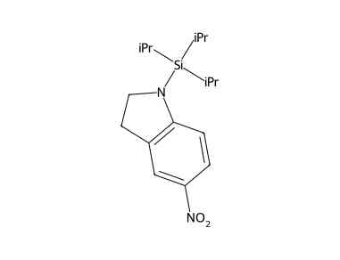 CC(C)[Si](C(C)C)(C(C)C)N1CCc2cc([N+](=O)[O-])ccc21